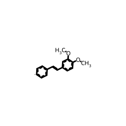 COc1ccc(C=Cc2cc[c]cc2)cc1OC